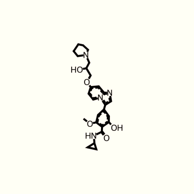 COc1cc(-c2cnc3cc(OCC(O)CN4CCCCC4)ccn23)cc(O)c1C(=O)NC1CC1